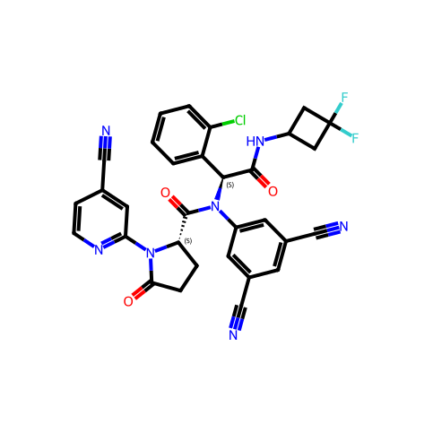 N#Cc1cc(C#N)cc(N(C(=O)[C@@H]2CCC(=O)N2c2cc(C#N)ccn2)[C@H](C(=O)NC2CC(F)(F)C2)c2ccccc2Cl)c1